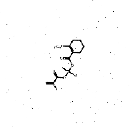 C=C(C)C(=O)OC(C)(CC)OC(=O)C1=C(C(=O)O)CCCC1